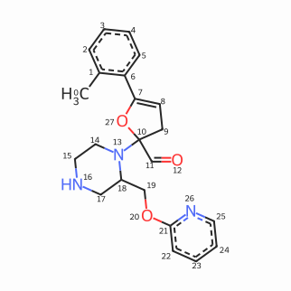 Cc1ccccc1C1=CCC(C=O)(N2CCNCC2COc2ccccn2)O1